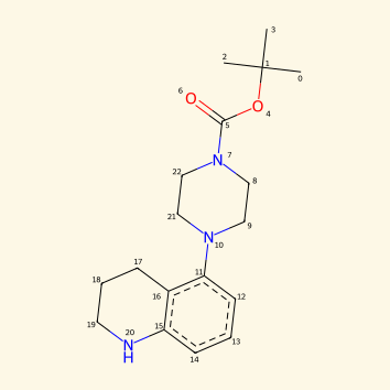 CC(C)(C)OC(=O)N1CCN(c2cccc3c2CCCN3)CC1